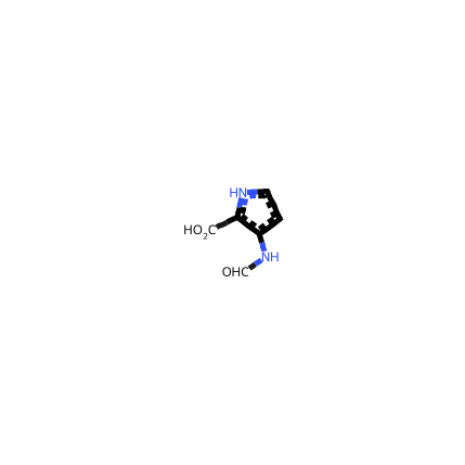 O=CNc1cc[nH]c1C(=O)O